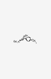 CCC[SiH](CCC(=O)OCC)c1ccc(C)cc1